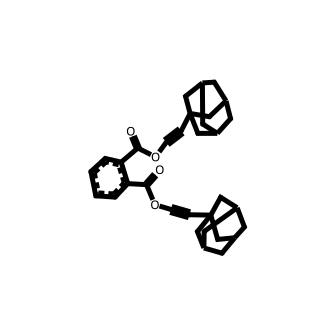 O=C(OC#CC12CC3CC(CC(C3)C1)C2)c1ccccc1C(=O)OC#CC12CC3CC(CC(C3)C1)C2